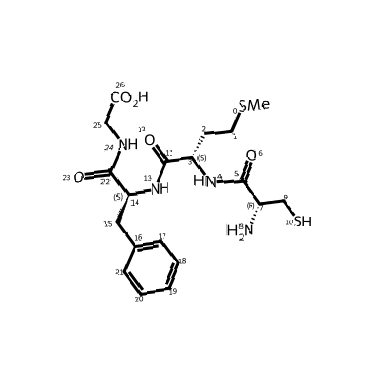 CSCC[C@H](NC(=O)[C@@H](N)CS)C(=O)N[C@@H](Cc1ccccc1)C(=O)NCC(=O)O